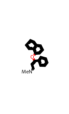 CNCC=C(Oc1cccc2ccccc12)c1ccccc1